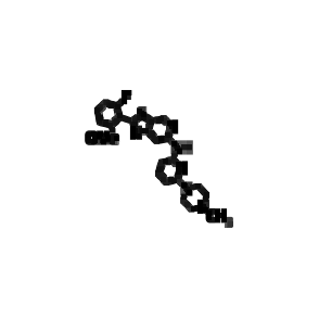 COc1cccc(F)c1-c1nc2cc(Nc3cccc(N4CCN(C)CC4)n3)ncc2s1